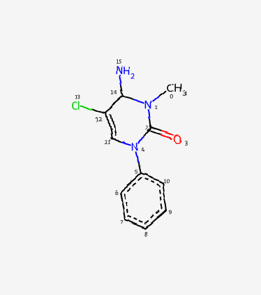 CN1C(=O)N(c2ccccc2)C=C(Cl)C1N